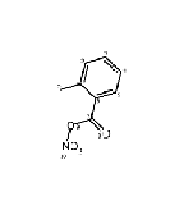 Cc1ccccc1C(=O)O[N+](=O)[O-]